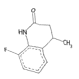 CC1CC(=O)Nc2c(F)cccc21